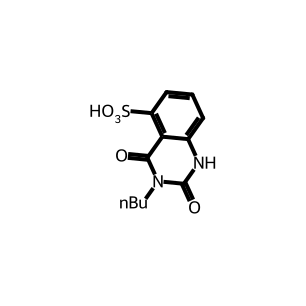 CCCCn1c(=O)[nH]c2cccc(S(=O)(=O)O)c2c1=O